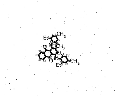 CCc1cc(C)cc(C)c1Nc1ccc(Nc2c(CC)cc(C)cc2CC)c2c1C(=O)c1ccccc1C2=O